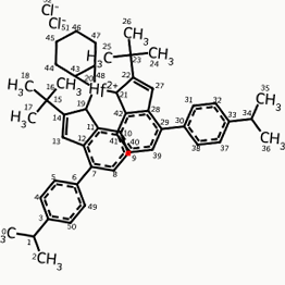 CC(C)c1ccc(-c2cccc3c2C=C(C(C)(C)C)[CH]3[Hf+2]2([CH]3C(C(C)(C)C)=Cc4c(-c5ccc(C(C)C)cc5)cccc43)[CH]3CCCC[CH]32)cc1.[Cl-].[Cl-]